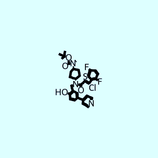 CN(C(=O)OC(C)(C)C)[C@H]1CC[C@H](N(Cc2cc(-c3ccncc3)ccc2O)C(=O)c2sc3c(F)ccc(F)c3c2Cl)CC1